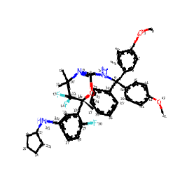 COc1ccc(C(NC2=NC(C)(C)C(F)(F)[C@@](C)(c3cc(NC4CCCC4)ccc3F)O2)(c2ccccc2)c2ccc(OC)cc2)cc1